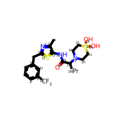 Cc1nc(Cc2cccc(C(F)(F)F)c2)sc1NC(=O)C(C(C)C)N1CCS(O)(O)CC1